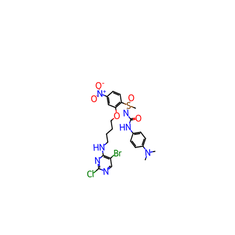 CN(C)c1ccc(NC(=O)N=S(C)(=O)c2ccc([N+](=O)[O-])cc2OCCCCNc2nc(Cl)ncc2Br)cc1